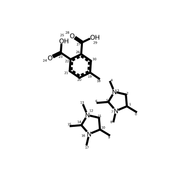 CC1CN(C)C(C)N1C.CC1CN(C)C(C)N1C.Cc1ccc(C(=O)O)c(C(=O)O)c1